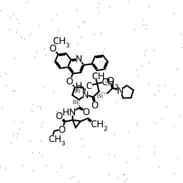 C=CC1CC1(NC(=O)[C@@H]1C[C@@H](Oc2cc(-c3ccccc3)nc3cc(OC)ccc23)CN1C(=O)[C@@H](CC(=O)N1CCCC1)C(C)(C)C)C(=O)OCC